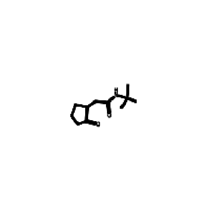 CC(C)(C)NC(=O)CC1CCCC1=O